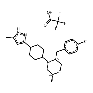 Cc1cc(C2CCC(N3C[C@H](C)OC[C@@H]3Cc3ccc(Cl)cc3)CC2)n[nH]1.O=C(O)C(F)(F)F